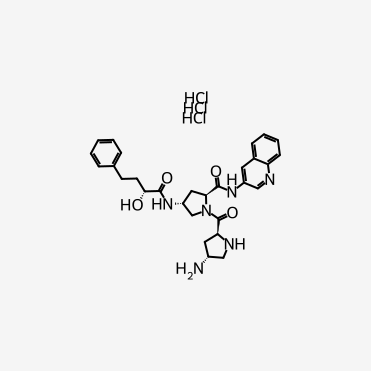 Cl.Cl.Cl.N[C@H]1CN[C@H](C(=O)N2C[C@H](NC(=O)[C@H](O)CCc3ccccc3)C[C@H]2C(=O)Nc2cnc3ccccc3c2)C1